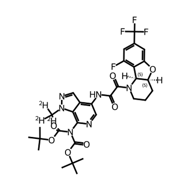 [2H]C([2H])([2H])n1ncc2c(NC(=O)C(=O)N3CCC[C@@H]4Oc5cc(C(F)(F)F)cc(F)c5[C@@H]43)cnc(N(C(=O)OC(C)(C)C)C(=O)OC(C)(C)C)c21